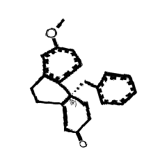 COc1ccc2c(c1)CCC1=CC(=O)CC[C@@]12Cc1ccccc1